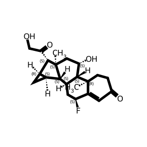 C[C@]12C[C@H](O)[C@H]3[C@@H](C[C@H](F)C4=CC(=O)CC[C@@]43C)[C@@H]1[C@H]1C[C@H]1[C@@H]2C(=O)CO